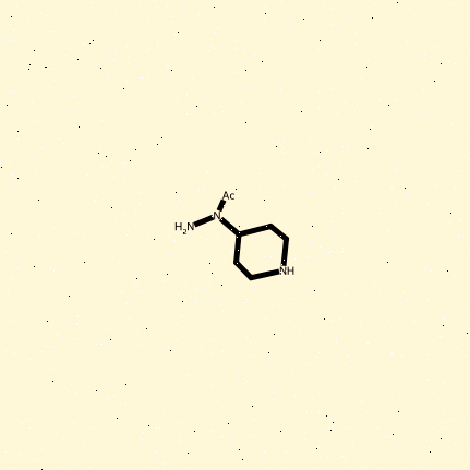 CC(=O)N(N)C1CCNCC1